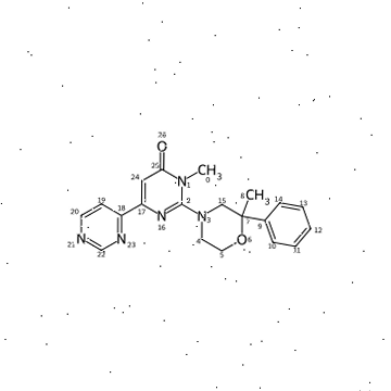 Cn1c(N2CCOC(C)(c3ccccc3)C2)nc(-c2ccncn2)cc1=O